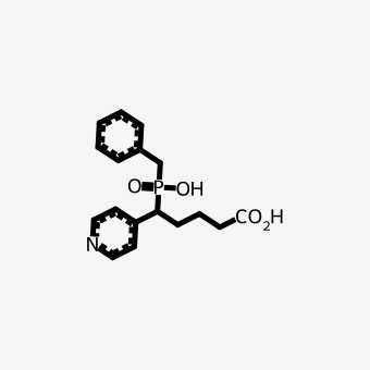 O=C(O)CCCC(c1ccncc1)P(=O)(O)Cc1ccccc1